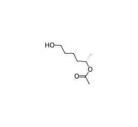 CC(=O)O[C@@H](C)CCCCO